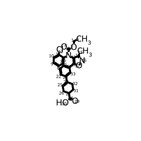 CCOC(=O)N(c1ccccc1Cl)c1c(C)noc1-c1cccc(C2=CCC(C(=O)O)CC2)c1